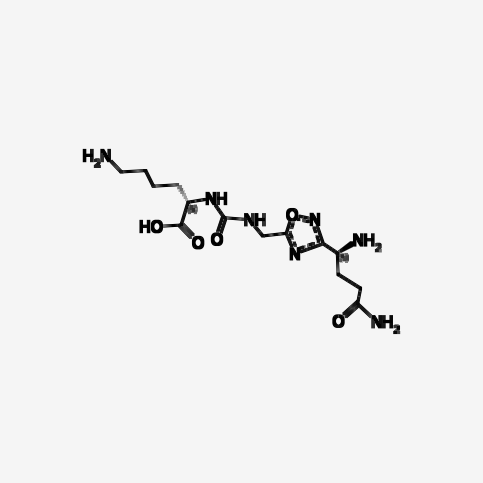 NCCCC[C@H](NC(=O)NCc1nc([C@@H](N)CCC(N)=O)no1)C(=O)O